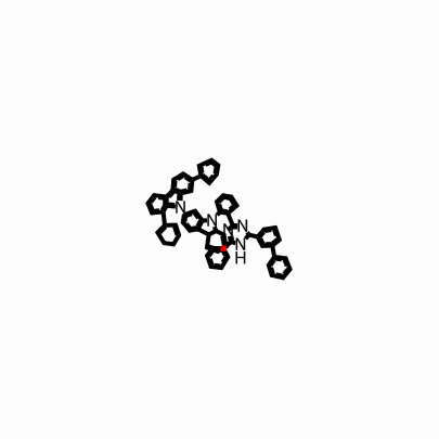 C1=CC2c3ccc(-n4c5cc(-c6ccccc6)ccc5c5cccc(C6=CCCC=C6)c54)cc3N(c3ccccc3C3=NC(c4cccc(-c5ccccc5)c4)NC(c4ccccc4)=N3)C2C=C1